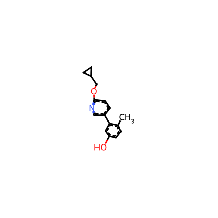 Cc1ccc(O)cc1-c1ccc(OCC2CC2)nc1